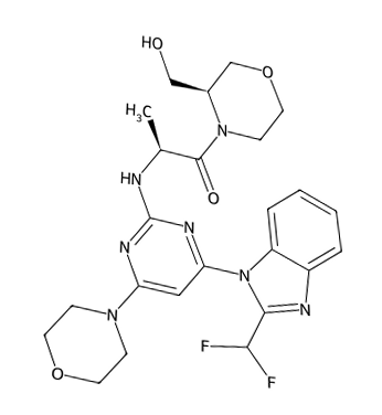 C[C@H](Nc1nc(N2CCOCC2)cc(-n2c(C(F)F)nc3ccccc32)n1)C(=O)N1CCOC[C@@H]1CO